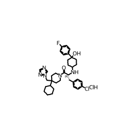 Cl.O=C([C@@H](Cc1ccc(Cl)cc1)NC1CCC(O)(c2ccc(F)cc2)CC1)N1CCC(Cn2cncn2)(C2CCCCC2)CC1